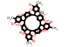 Cc1cc(C)c(C2c3cc(c(O)cc3O)C(c3cc(Br)c(C)cc3C)c3cc(c(O)cc3O)C(c3cc(Br)c(C)cc3C)c3cc(c(O)cc3O)C(c3cc(Br)c(C)cc3C)c3cc2c(O)cc3O)cc1Br